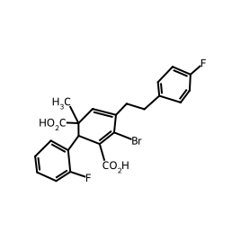 CC1(C(=O)O)C=C(CCc2ccc(F)cc2)C(Br)=C(C(=O)O)C1c1ccccc1F